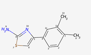 Cc1ccc(-c2csc(N)n2)cc1C